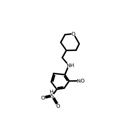 O=Nc1cc([SH](=O)=O)ccc1NCC1CCOCC1